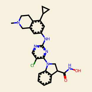 CN1CCc2c(cc(Nc3ncc(Cl)c(N4CC(C(=O)NO)c5ccccc54)n3)cc2C2CC2)C1